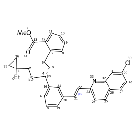 CCC1(CS[C@H](CCc2ccccc2C(=O)OC)c2cccc(/C=C/c3ccc4ccc(Cl)cc4n3)c2)CC1